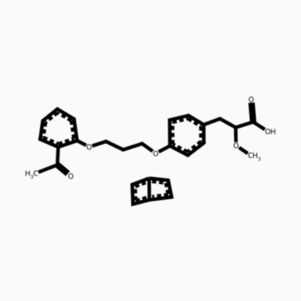 COC(Cc1ccc(OCCCOc2ccccc2C(C)=O)cc1)C(=O)O.c1cc2ccc1-2